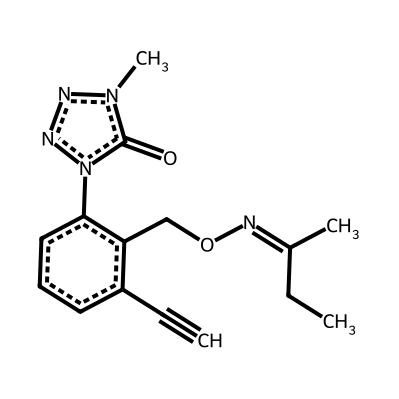 C#Cc1cccc(-n2nnn(C)c2=O)c1CON=C(C)CC